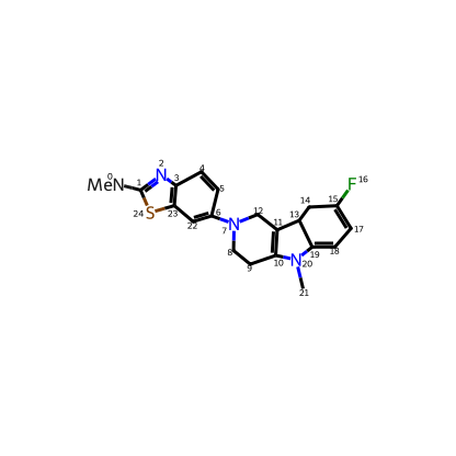 CNc1nc2ccc(N3CCC4=C(C3)C3CC(F)=CC=C3N4C)cc2s1